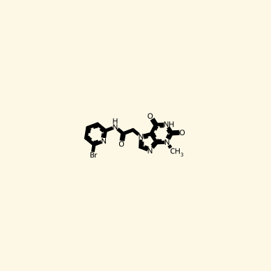 Cn1c(=O)[nH]c(=O)c2c1ncn2CC(=O)Nc1cccc(Br)n1